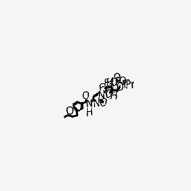 CC(C)OP1(=O)OC[C@H]2OC(n3ccc(NC(=O)c4ccc5c(c4)CCC(C)O5)nc3=O)C(F)(F)[C@@H]2O1